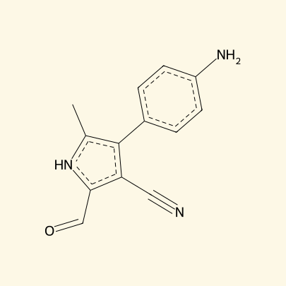 Cc1[nH]c(C=O)c(C#N)c1-c1ccc(N)cc1